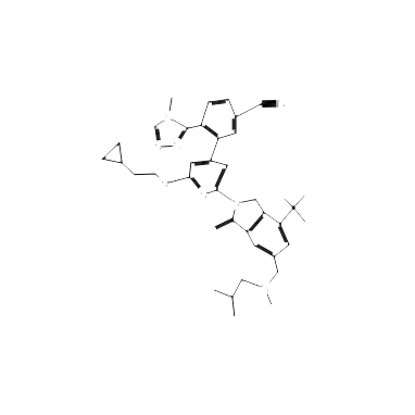 CC(C)CN(C)Cc1cc2c(c(C(F)(F)F)c1)CN(c1cc(-c3cc(C#N)ccc3-c3nncn3C)cc(NCCC3CC3)n1)C2=O